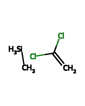 C=C(Cl)Cl.C[SiH3]